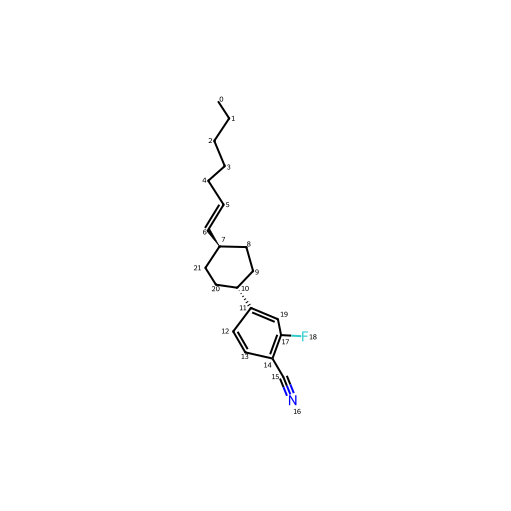 CCCCC/C=C/[C@H]1CC[C@H](c2ccc(C#N)c(F)c2)CC1